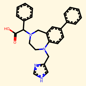 O=C(O)C(c1ccccc1)N1CCN(Cc2c[nH]cn2)c2ccc(-c3ccccc3)cc2C1